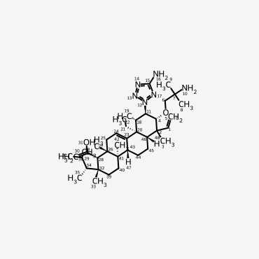 C=CC1(C)[C@@H](OCC(C)(C)N)[C@H](n2nnc(N)n2)[C@@H](C)[C@]2(CC)C3=CC[C@@]4(C)[C@H](C(=C)O)[C@@](C)([C@H](C)C(C)C)CC[C@]4(C)[C@H]3CC[C@@H]12